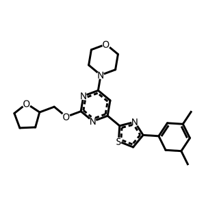 CC1=CC(C)CC(c2csc(-c3cc(N4CCOCC4)nc(OCC4CCCO4)n3)n2)=C1